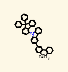 CCCC1=C(c2cc(-c3ccc4c(c3)c3ccccc3n4-c3cccc4c3-c3ccccc3C4(c3ccccc3)c3ccccc3)ccc2C)CCCC1